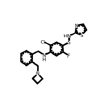 Fc1cc(NCc2ccccc2CN2CCC2)c(Cl)cc1SNc1nccs1